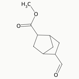 COC(=O)C1CC2CC1CC2C=O